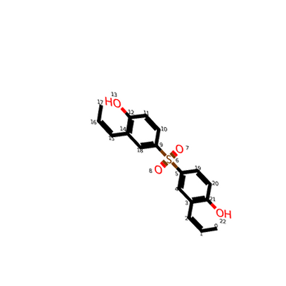 C/C=C\c1cc(S(=O)(=O)c2ccc(O)c(/C=C\C)c2)ccc1O